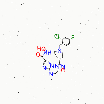 CN(Cc1nc(C2CCN(Cc3ccc(F)cc3Cl)CC2)no1)c1ncc(C(=O)NO)cn1